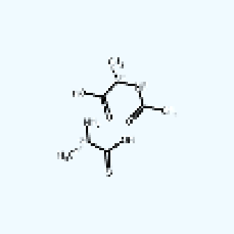 CC(=O)N[C@@H](C)C(=O)O.C[C@H](N)C(=O)O